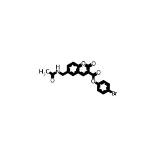 CC(=O)NCc1ccc2oc(=O)c(C(=O)Oc3ccc(Br)cc3)cc2c1